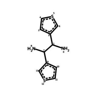 NC(c1ccsc1)C(N)c1ccsc1